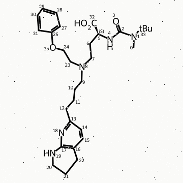 CN(C(=O)N[C@@H](CCN(CCCCc1ccc2c(n1)NCCC2)CCOc1ccccc1)C(=O)O)C(C)(C)C